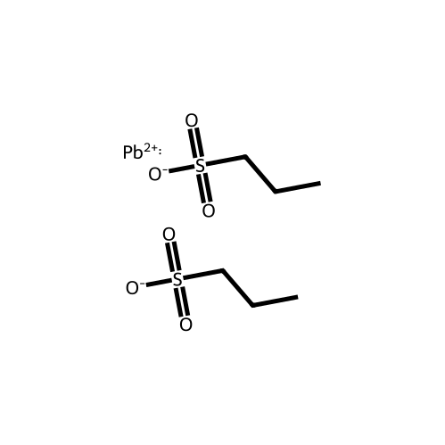 CCCS(=O)(=O)[O-].CCCS(=O)(=O)[O-].[Pb+2]